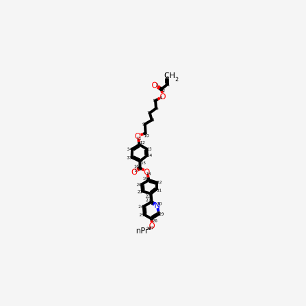 C=CC(=O)OCCCCCCOc1ccc(C(=O)Oc2ccc(-c3ccc(OCCC)cn3)cc2)cc1